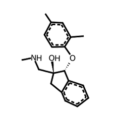 CNC[C@@]1(O)Cc2ccccc2[C@H]1Oc1ccc(C)cc1C